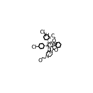 CCOc1ccccc1C1(C(=O)N2CCN(CC=O)CC2)N[C@H](c2ccc(Cl)cc2)[C@H](c2ccc(Cl)cc2)N1